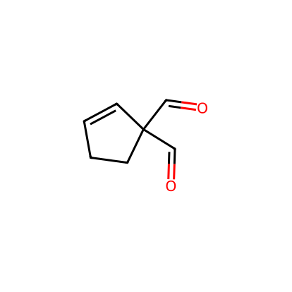 O=CC1(C=O)C=CCC1